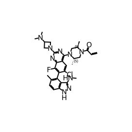 C=CC(=O)N1C[C@H](C)N(c2nc(N3CC(N(C)C)C3)nc3c(F)c(-c4c(C)ccc5[nH]nc(NC)c45)c(Cl)cc23)C[C@H]1C